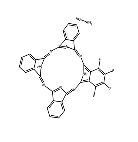 Fc1c(F)c(F)c2c3nc4nc(nc5[nH]c(nc6nc(nc([nH]3)c2c1F)-c1ccccc1-6)c1ccccc51)-c1ccccc1-4.[OH][AlH2]